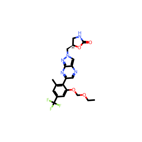 CCOCOc1cc(C(F)(F)F)cc(C)c1-c1cnc2cn(C[C@H]3CNC(=O)O3)nc2n1